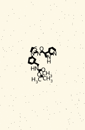 CC(C)(C)OC(=O)NCc1cccc(-n2ccsc2=NC(=O)c2c[nH]c3ncccc23)c1